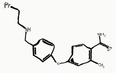 Cc1cc(Oc2ccc(CNCCC(C)C)cc2)ccc1C(N)=O